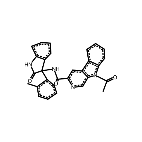 CC(=O)n1c2ccccc2c2cc(C(=O)NC3(c4ccccc4C)C(=O)Nc4ccccc43)ncc21